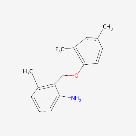 Cc1ccc(OCc2c(C)cccc2N)c(C(F)(F)F)c1